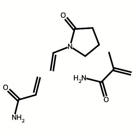 C=C(C)C(N)=O.C=CC(N)=O.C=CN1CCCC1=O